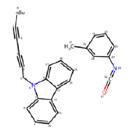 CCCCC#CC#CCn1c2ccccc2c2ccccc21.Cc1cccc(N=C=O)c1